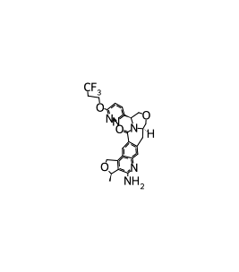 C[C@H]1OCc2c1c(N)nc1cc3c(cc21)C(=O)N1[C@@H](COC[C@@H]1c1ccc(OCCC(F)(F)F)nn1)C3